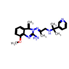 C=C1c2cccc(OC)c2N=C(N)N1/N=C(\C)CNC(C)(C)c1cccnc1